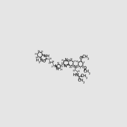 COc1cc(OC)cc(N(CCNC(C)C)c2ccc3ncc(-c4cnn(CCCCC(=O)Nc5ccccc5N)c4)nc3c2)c1